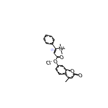 Cc1cc(=O)oc2cc(OC(=O)/C=C(/c3ccccc3)[N+](C)(C)C)ccc12.[Cl-]